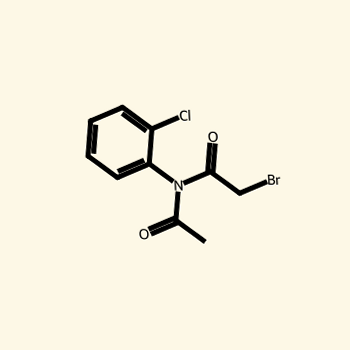 CC(=O)N(C(=O)CBr)c1ccccc1Cl